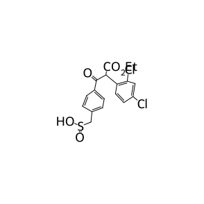 CCOC(=O)C(C(=O)c1ccc(CS(=O)O)cc1)c1ccc(Cl)cc1Cl